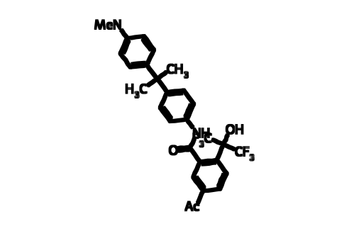 CNc1ccc(C(C)(C)c2ccc(NC(=O)c3cc(C(C)=O)ccc3C(O)(C(F)(F)F)C(F)(F)F)cc2)cc1